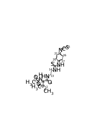 CC[C@H](C)[C@H](NS(C)(=O)=O)C(=O)NCCNC(=S)Nc1ccc(N=C=S)cc1